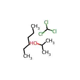 CC(C)O.CCCCCC.ClC(Cl)Cl